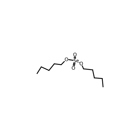 CCCCCO[Se](=O)(=O)OCCCCC